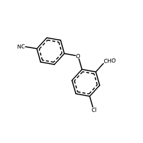 N#Cc1ccc(Oc2ccc(Cl)cc2C=O)cc1